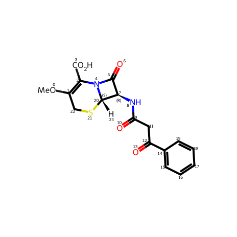 COC1=C(C(=O)O)N2C(=O)[C@@H](NC(=O)CC(=O)c3ccccc3)[C@@H]2SC1